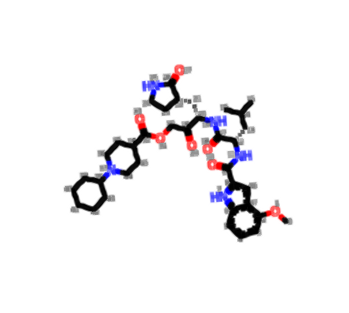 COc1cccc2[nH]c(C(=O)N[C@@H](CC(C)C)C(=O)N[C@@H](C[C@@H]3CCNC3=O)C(=O)COC(=O)C3CCN(C4CCCCC4)CC3)cc12